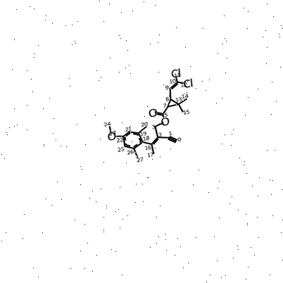 C#CC(COC(=O)C1C(C=C(Cl)Cl)C1(C)C)=C(C)c1c(C)cc(OC)cc1C